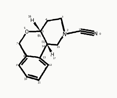 N#CN1CC[C@H]2OCc3ccccc3[C@H]2C1